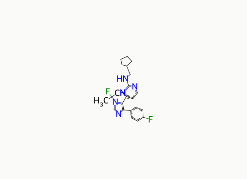 CC(C)(F)n1cnc(-c2ccc(F)cc2)c1-c1ccnc(NCC2CCCC2)n1